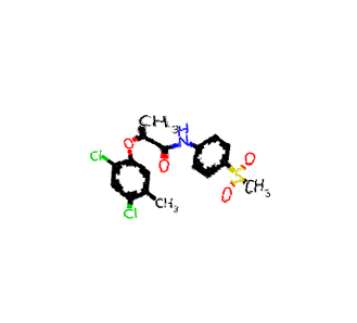 Cc1cc(OC(C)C(=O)Nc2ccc(S(C)(=O)=O)cc2)c(Cl)cc1Cl